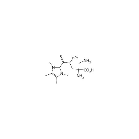 CCCC(CC(N)(CN)C(=O)O)C(=S)C1N(C)C(C)=C(C)N1C